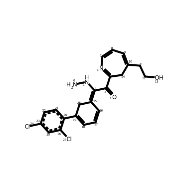 NN/C(C(=O)C1=NC=CC=C(CCO)C1)=C1/C=CC=C(c2ccc(Cl)cc2Cl)C1